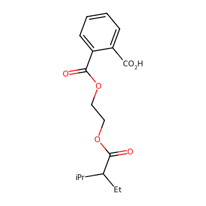 CCC(C(=O)OCCOC(=O)c1ccccc1C(=O)O)C(C)C